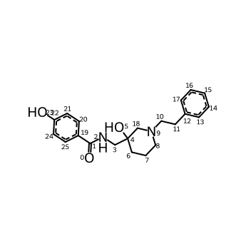 O=C(NCC1(O)CCCN(CCc2ccccc2)C1)c1ccc(O)cc1